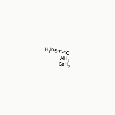 [AlH3].[GaH3].[InH3].[O]=[Sn]